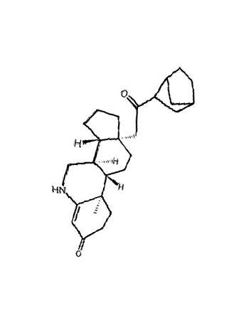 C[C@]12CCC(=O)C=C1NC[C@H]1[C@@H]3CCC[C@@]3(CC(=O)C3CC4CCC3C4)CC[C@@H]12